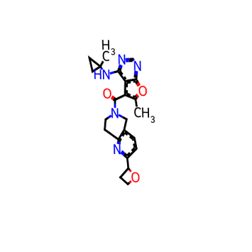 Cc1oc2ncnc(NC3(C)CC3)c2c1C(=O)N1CCc2nc(C3CCO3)ccc2C1